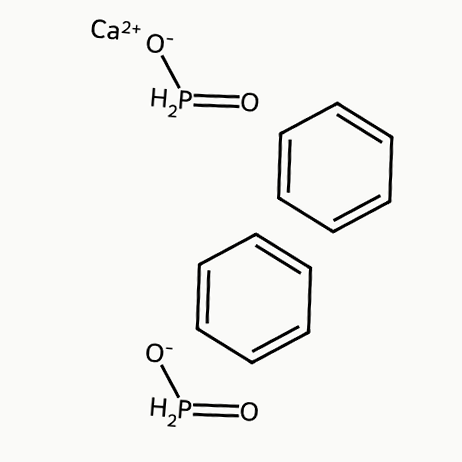 O=[PH2][O-].O=[PH2][O-].[Ca+2].c1ccccc1.c1ccccc1